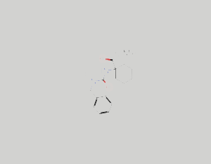 COC(=O)C1(NC(=O)N(C)Cc2ccccc2)CCCCC1